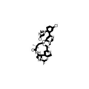 C[C@@H]1CCC[C@H](Cn2cnc(-c3cc(Cl)ccc3-n3cc(Cl)nn3)cc2=O)c2cc(ccn2)-c2c(cnn2C(F)F)NC1=O